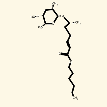 CCCCCCOC(=O)/C=C/CC[C@@H](C)O[C@@H]1O[C@@H](C)[C@H](O)C[C@H]1C